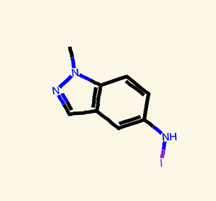 Cn1ncc2cc(NI)ccc21